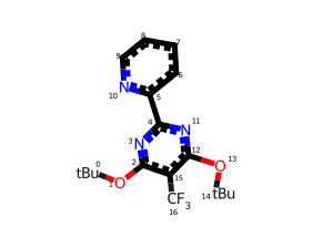 CC(C)(C)Oc1nc(-c2ccccn2)nc(OC(C)(C)C)c1C(F)(F)F